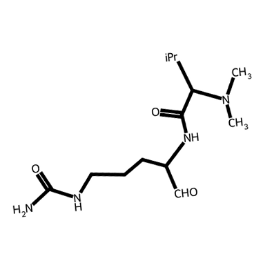 CC(C)C(C(=O)NC(C=O)CCCNC(N)=O)N(C)C